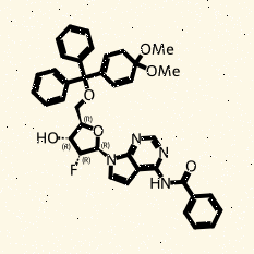 COC1(OC)C=CC(C(OC[C@H]2O[C@@H](n3ccc4c(NC(=O)c5ccccc5)ncnc43)[C@H](F)[C@@H]2O)(c2ccccc2)c2ccccc2)=CC1